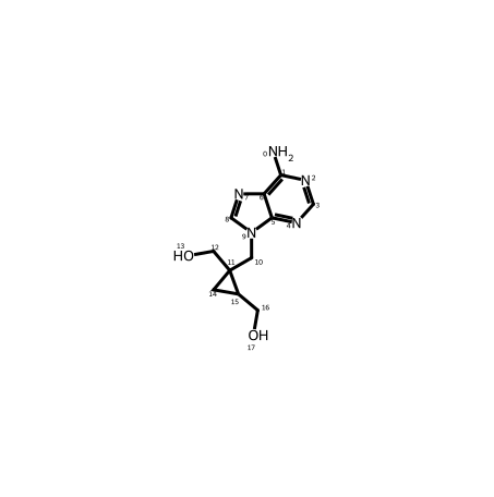 Nc1ncnc2c1ncn2CC1(CO)CC1CO